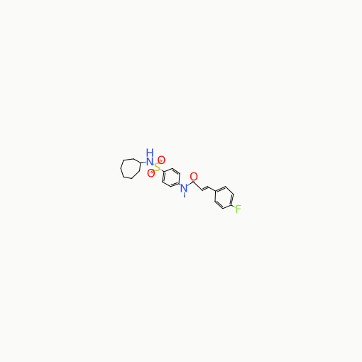 CN(C(=O)C=Cc1ccc(F)cc1)c1ccc(S(=O)(=O)NC2CCCCCC2)cc1